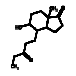 CCC(=O)CCC1C(O)CCC2(C)C(=O)CCC12